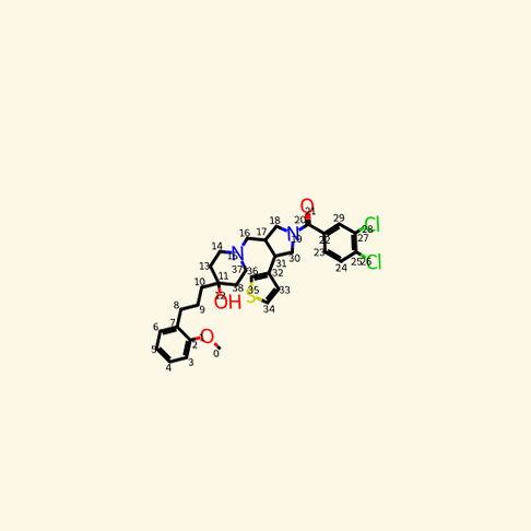 COc1ccccc1CCCC1(O)CCN(CC2CN(C(=O)c3ccc(Cl)c(Cl)c3)CC2c2ccsc2)CC1